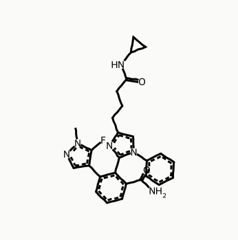 Cn1ncc(-c2cccc(C(N)=O)c2-c2nc(CCCC(=O)NC3CC3)cn2-c2ccccc2)c1F